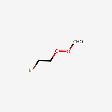 O=COOCCBr